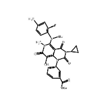 CNC(=O)c1cccc(-n2c(=O)n(C3CC3)c(=O)c3c(N(c4ccc(C)cc4F)C(C)(C)C)n(C)c(=O)c(C)c32)c1